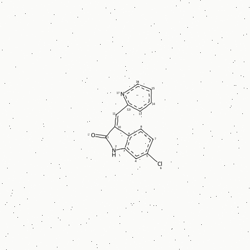 O=C1Nc2cc(Cl)ccc2/C1=C\c1ccccn1